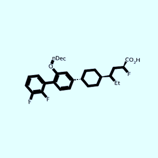 CCCCCCCCCCOc1cc([C@H]2CC[C@H](C(CC)C[C@H](F)C(=O)O)CC2)ccc1-c1cccc(F)c1F